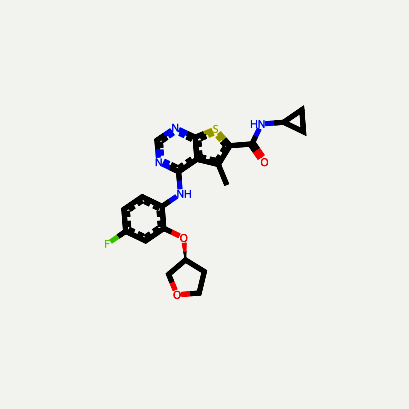 Cc1c(C(=O)NC2CC2)sc2ncnc(Nc3ccc(F)cc3O[C@H]3CCOC3)c12